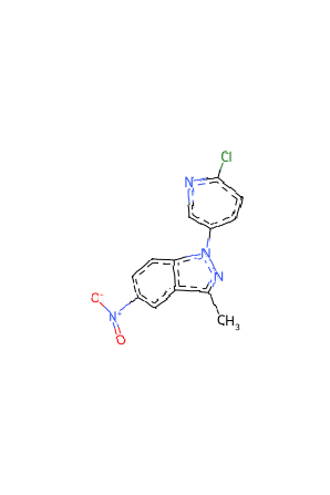 Cc1nn(-c2ccc(Cl)nc2)c2ccc([N+](=O)[O-])cc12